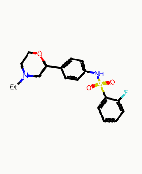 CCN1CCOC(c2ccc(NS(=O)(=O)c3ccccc3F)cc2)C1